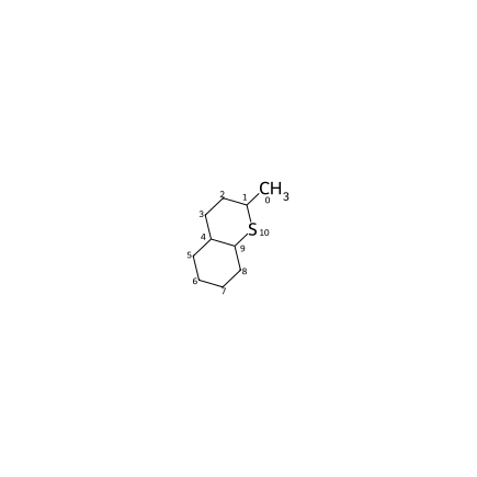 CC1CCC2CCCCC2S1